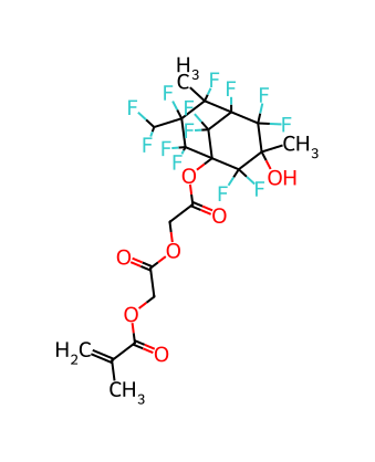 C=C(C)C(=O)OCC(=O)OCC(=O)OC12C(F)(F)C(C)(O)C(F)(F)C(F)(C(C)(F)C(F)(C(F)F)C1(F)F)C2(F)F